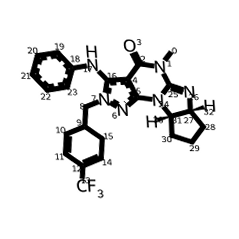 CN1C(=O)c2c(nn(CC3C=CC(C(F)(F)F)=CC3)c2Nc2ccccc2)N2C1=N[C@@H]1CCC[C@@H]12